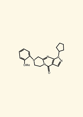 COc1ccccc1N1CCn2c(nc3c(cnn3C3CCCC3)c2=O)C1